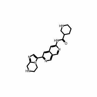 O=C(Nc1cc2cc(-c3cnc4n3CCNC4)ncc2cn1)C1CCCNC1